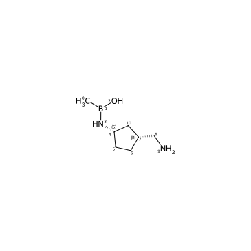 CB(O)N[C@H]1CC[C@@H](CN)C1